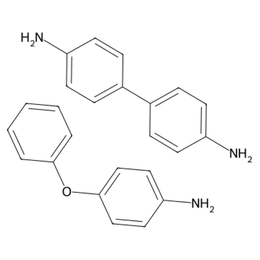 Nc1ccc(-c2ccc(N)cc2)cc1.Nc1ccc(Oc2ccccc2)cc1